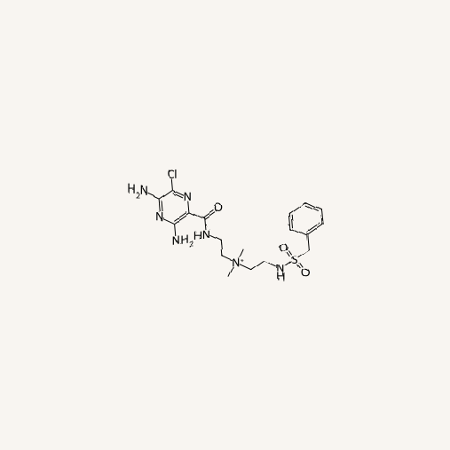 C[N+](C)(CCNC(=O)c1nc(Cl)c(N)nc1N)CCNS(=O)(=O)Cc1ccccc1